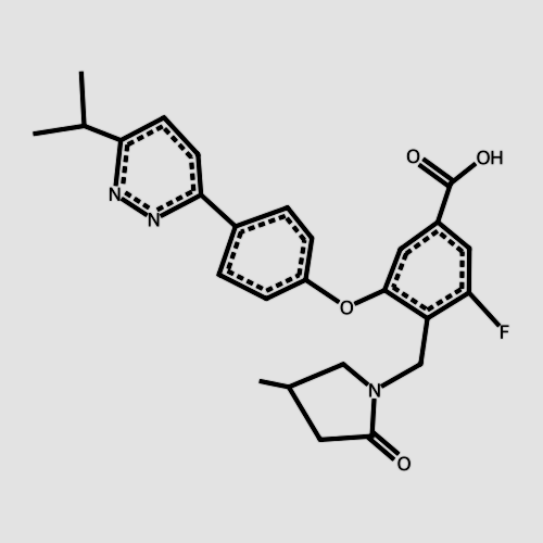 CC1CC(=O)N(Cc2c(F)cc(C(=O)O)cc2Oc2ccc(-c3ccc(C(C)C)nn3)cc2)C1